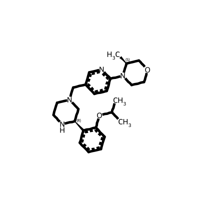 CC(C)Oc1ccccc1[C@@H]1CN(Cc2ccc(N3CCOC[C@@H]3C)nc2)CCN1